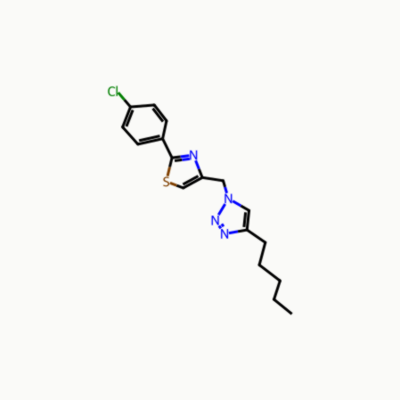 CCCCCc1cn(Cc2csc(-c3ccc(Cl)cc3)n2)nn1